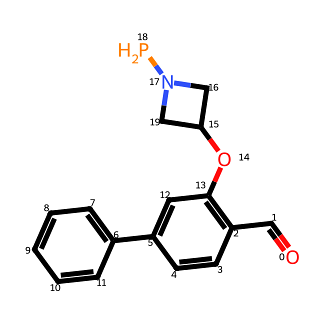 O=Cc1ccc(-c2ccccc2)cc1OC1CN(P)C1